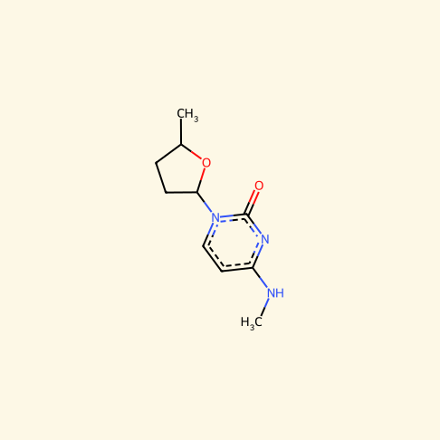 CNc1ccn(C2CCC(C)O2)c(=O)n1